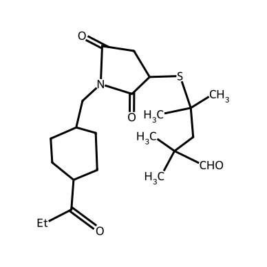 CCC(=O)C1CCC(CN2C(=O)CC(SC(C)(C)CC(C)(C)C=O)C2=O)CC1